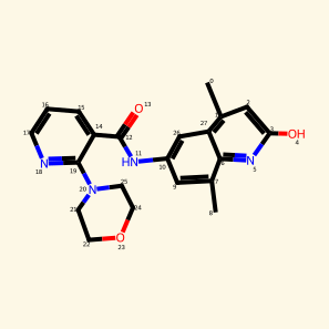 Cc1cc(O)nc2c(C)cc(NC(=O)c3cccnc3N3CCOCC3)cc12